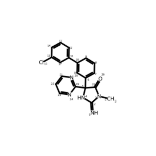 CN1C(=N)NC(c2cccc(-c3cccc(Cl)c3)c2)(c2ncccn2)C1=O